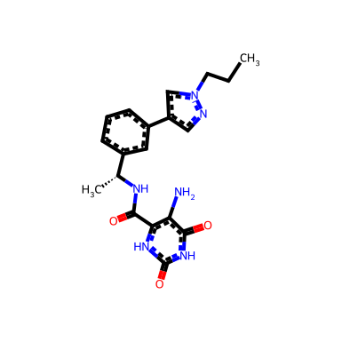 CCCn1cc(-c2cccc([C@@H](C)NC(=O)c3[nH]c(=O)[nH]c(=O)c3N)c2)cn1